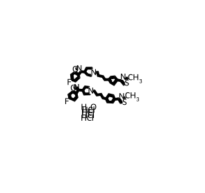 Cc1nc(-c2ccc(CCCCN3CCC(c4noc5cc(F)ccc45)CC3)cc2)cs1.Cc1nc(-c2ccc(CCCCN3CCC(c4noc5cc(F)ccc45)CC3)cc2)cs1.Cl.Cl.Cl.Cl.O